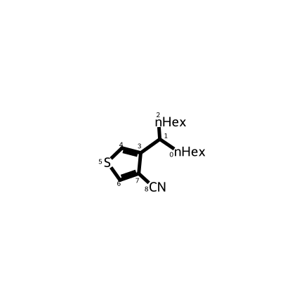 CCCCCCC(CCCCCC)c1cscc1C#N